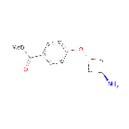 COC(=O)c1ccc(O[C@H]2C[C@H](N)C2)cc1